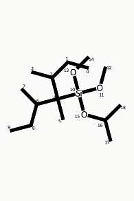 CCC(C)C(C)(C(C)CC)[Si](OC)(OC)OC(C)C